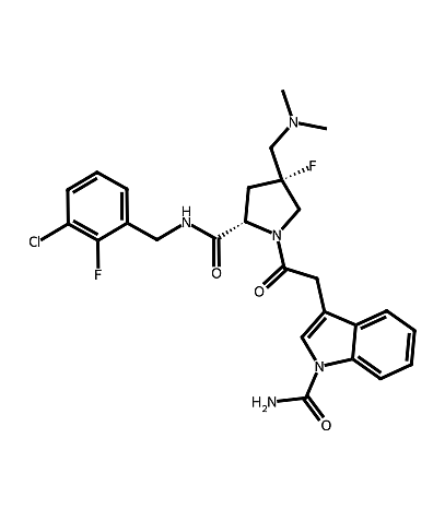 CN(C)C[C@]1(F)C[C@@H](C(=O)NCc2cccc(Cl)c2F)N(C(=O)Cc2cn(C(N)=O)c3ccccc23)C1